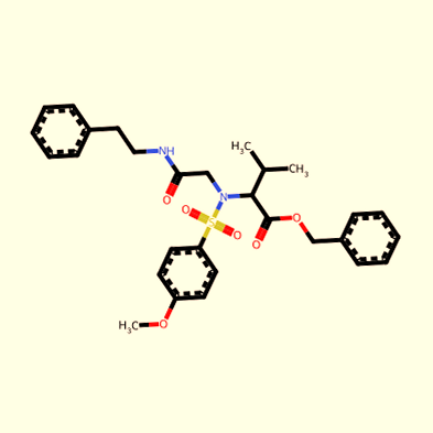 COc1ccc(S(=O)(=O)N(CC(=O)NCCc2ccccc2)C(C(=O)OCc2ccccc2)C(C)C)cc1